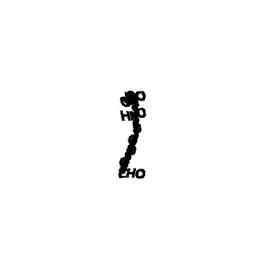 O=CCCOCCOCCOCCOCCNC(=O)CCN1C(=O)CCC1=O